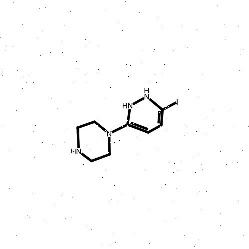 IC1=CC=C(N2CCNCC2)NN1